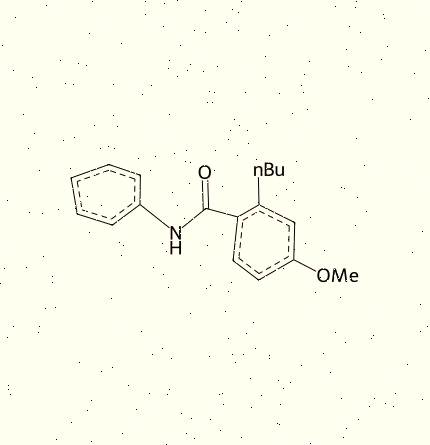 CCCCc1cc(OC)ccc1C(=O)Nc1ccccc1